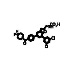 O=C(O)NCc1cc2cc(-c3ccc(C(=O)N4CCC(F)(F)CC4)cc3)cc(-c3cc(Cl)cc(Cl)c3)c2o1